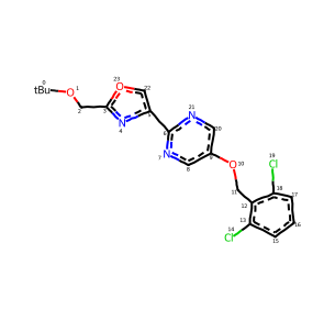 CC(C)(C)OCc1nc(-c2ncc(OCc3c(Cl)cccc3Cl)cn2)co1